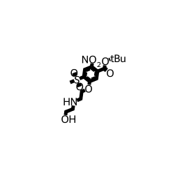 CC(C)(C)OC(=O)c1cc(OCCNCCO)c(S(C)(=O)=O)cc1[N+](=O)[O-]